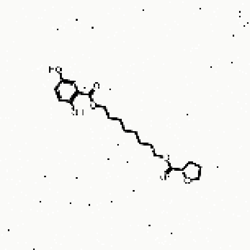 O=C(OCCCCCCCCOC(=O)C1CCCO1)c1cc(O)ccc1O